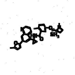 Cc1ccc(-c2cc(C3(NC(=O)c4cc(O[C@@H]([SiH3])[C@@H]5CCN5C)ccc4C)CC3)c3cccnc3c2)o1